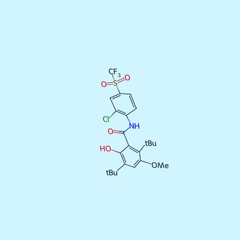 COc1cc(C(C)(C)C)c(O)c(C(=O)Nc2ccc(S(=O)(=O)C(F)(F)F)cc2Cl)c1C(C)(C)C